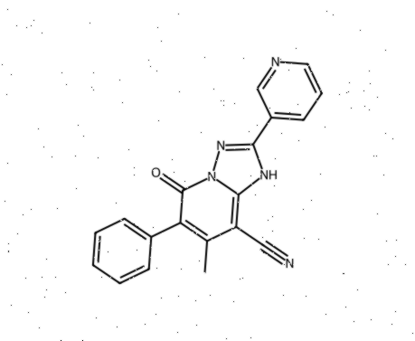 Cc1c(-c2ccccc2)c(=O)n2nc(-c3cccnc3)[nH]c2c1C#N